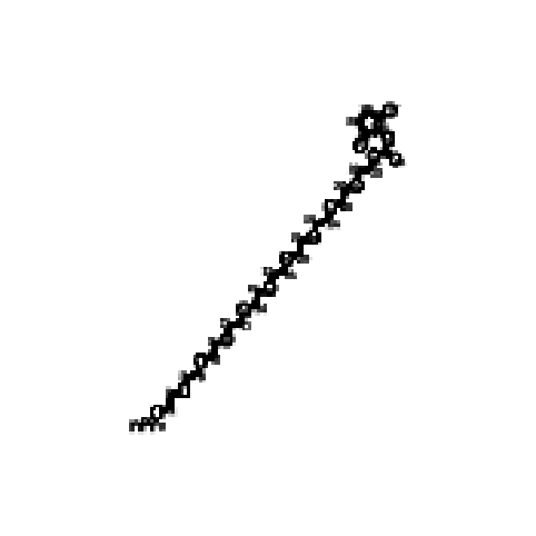 CCCOCCOCCOCCOCCOCCOCCOCCOCCOCCOCCOC(=O)ON1C(=O)CCC1=O